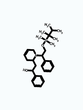 CC(C)C(C)(C)[Si](C)(C)OCC(c1ccccc1)N1CC=CCC1CC(O)c1ccccc1